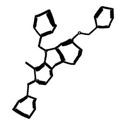 Cc1c2c(cc[n+]1Cc1ccccc1)c1ccc(OCc3ccccc3)cc1n2Cc1ccccc1